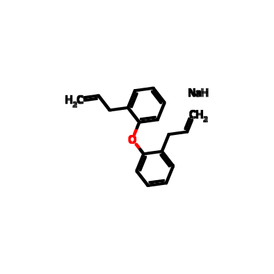 C=CCc1ccccc1Oc1ccccc1CC=C.[NaH]